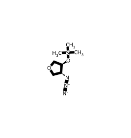 C[Si](C)(C)O[C@@H]1COC[C@H]1N=[N+]=[N-]